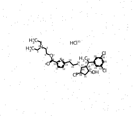 CCN(CC)CCOC(=O)c1ccc(CCC[C@@H]2[C@@H](C(C)c3cc(Cl)cc(Cl)c3)[C@H](O)C[C@H]2Cl)s1.Cl